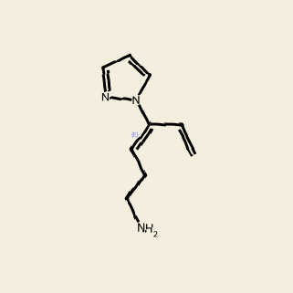 C=C/C(=C\CCN)n1cccn1